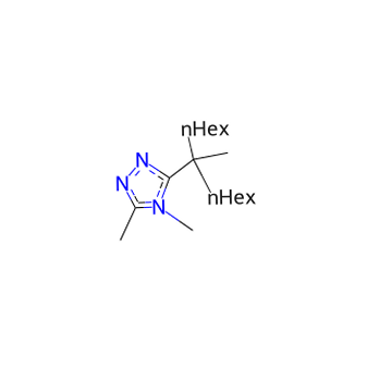 CCCCCCC(C)(CCCCCC)c1nnc(C)n1C